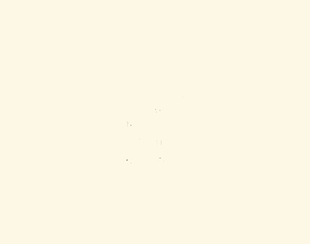 CC[Si](CC)(CC)O[C@@H]1C[C@H]2C(=O)NCCCN2C1